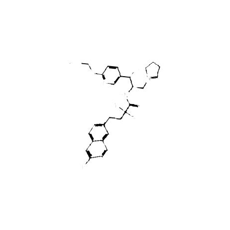 O=C(N[C@H](CN1CCCC1)[C@H](O)c1ccc(OCC(F)(F)F)nc1)C(F)(F)CCc1ccc2cc(F)ccc2c1